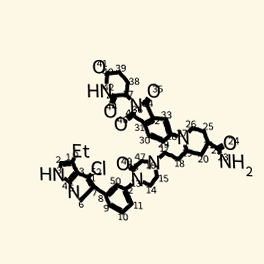 CCc1c[nH]c2ncc(-c3cccc(N4CCN(CCC5CC(C(N)=O)CCN5c5ccc6c(c5)C(=O)N(C5CCC(=O)NC5=O)C6=O)CC4=O)c3)c(Cl)c12